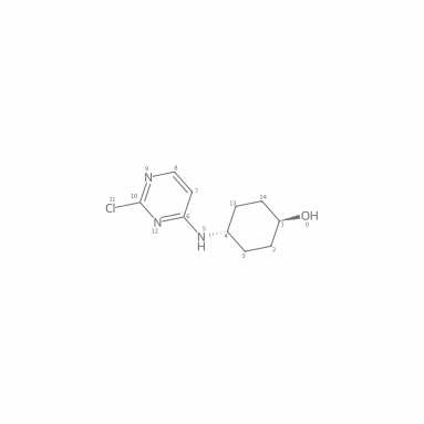 O[C@H]1CC[C@H](Nc2ccnc(Cl)n2)CC1